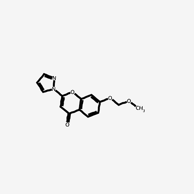 COCOc1ccc2c(=O)cc(-n3cccn3)oc2c1